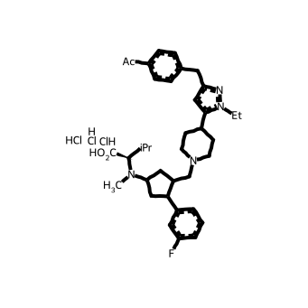 CCn1nc(Cc2ccc(C(C)=O)cc2)cc1C1CCN(CC2CC(N(C)[C@@H](C(=O)O)C(C)C)CC2c2cccc(F)c2)CC1.Cl.Cl.Cl